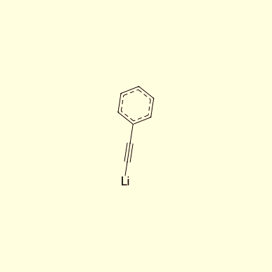 [Li][C]#Cc1ccccc1